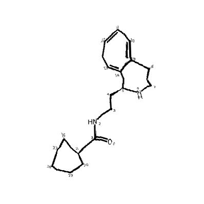 O=C(NCC[C@@H]1NCCc2ccccc21)C1CCCCC1